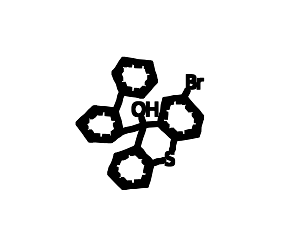 OC1(c2ccccc2-c2ccccc2)c2ccccc2Sc2ccc(Br)cc21